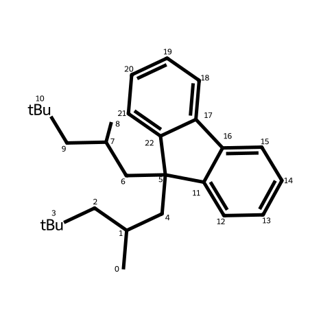 CC(CC(C)(C)C)CC1(CC(C)CC(C)(C)C)c2ccccc2-c2ccccc21